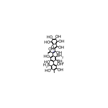 Bc1c(B)c(-c2c(B)c(O)c(C)c(O)c2O)c(O)c(O)c1/C(C(=C)O)=C(\O)c1oc2c(O)c(O)c(O)c(O)c2c1O